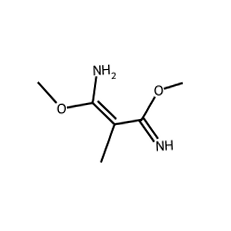 COC(=N)/C(C)=C(\N)OC